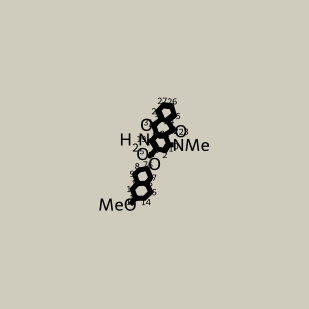 CNc1cc(C(=O)OC2CCC3CC(OC)CCC3C2)c(N)c2c1C(=O)c1ccccc1C2=O